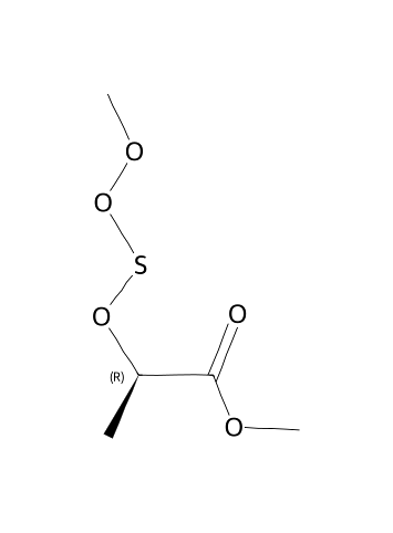 COOSO[C@H](C)C(=O)OC